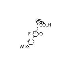 CSc1ccc(-c2cc(=O)n(CC[C@](C)(C(=O)O)S(C)(=O)=O)cc2F)cc1